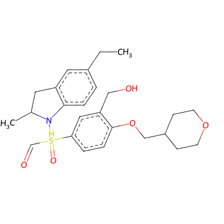 CCc1ccc2c(c1)CC(C)N2[SH](=O)(C=O)c1ccc(OCC2CCOCC2)c(CO)c1